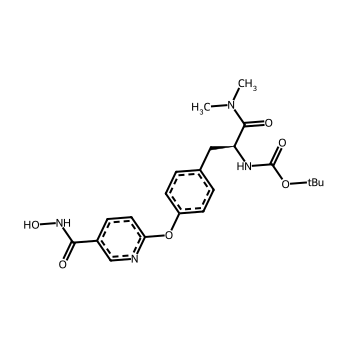 CN(C)C(=O)[C@H](Cc1ccc(Oc2ccc(C(=O)NO)cn2)cc1)NC(=O)OC(C)(C)C